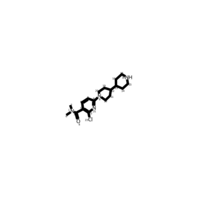 CN(C)C(=O)c1ccc(N2CCC(C3CCNCC3)CC2)nc1Cl